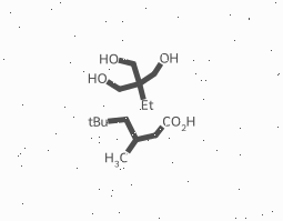 CC(CC(=O)O)CC(C)(C)C.CCC(CO)(CO)CO